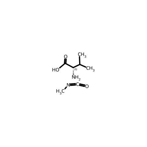 CC(C)[C@H](N)C(=O)O.CN=C=O